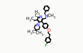 CCc1c(C)nc(CN(C)Cc2ccccc2)c(-c2ccc(OCCc3ccc(F)cc3)cc2)c1N1CCC(C)(C)CC1